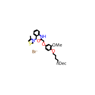 CCCCCCCCCCCCCCOc1ccc(OCC(=O)Nc2ccccc2C[n+]2cscc2C)cc1OC.[Br-]